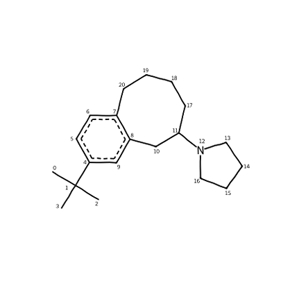 CC(C)(C)c1ccc2c(c1)CC(N1CCCC1)CCCC2